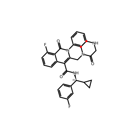 O=C(N[C@H](c1cccc(F)c1)C1CC1)c1c(CN2CCNCC2=O)n(-c2ccccc2)c(=O)c2c(F)cccc12